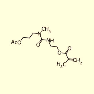 C=C(C)C(=O)OCCNC(=O)N(C)CCCOC(C)=O